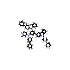 c1ccc(-c2ccc(-n3c4ccccc4c4cc(-c5cc(N(c6ccccc6)c6ccc7c(c6)sc6ccccc67)cc(N(c6ccccc6)c6ccc7c(c6)sc6ccccc67)c5)ccc43)cc2)cc1